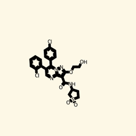 O=C(NC1CCS(=O)(=O)C1)c1c(OCCO)nn2c(-c3ccc(Cl)cc3)c(-c3ccccc3Cl)cnc12